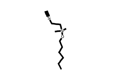 C#[Si]CC[Si](C)(C)OCCCCCC